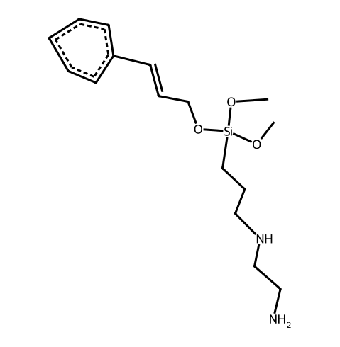 CO[Si](CCCNCCN)(OC)OCC=Cc1ccccc1